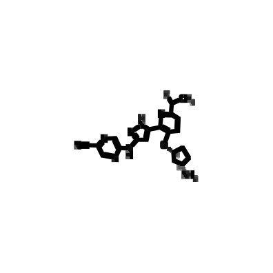 CC(F)c1ccc(O[C@@H]2CC[C@H](N)C2)c(-c2cc(Nc3cnc(C#N)cn3)n[nH]2)n1